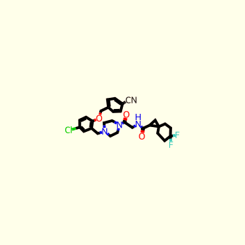 N#Cc1ccc(COc2ccc(Cl)cc2CN2CCN(C(=O)CNC(=O)C3CC34CCC(F)(F)CC4)CC2)cc1